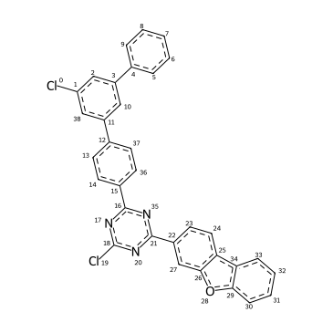 Clc1cc(-c2ccccc2)cc(-c2ccc(-c3nc(Cl)nc(-c4ccc5c(c4)oc4ccccc45)n3)cc2)c1